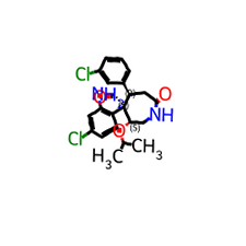 CC(C)O[C@@H]1CNC(=O)C[C@H](c2cccc(Cl)c2)[C@]1(C=O)c1ccc(Cl)cc1N